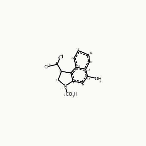 O=C(O)N1CC(C(Cl)Cl)c2c1cc(O)c1ccccc21